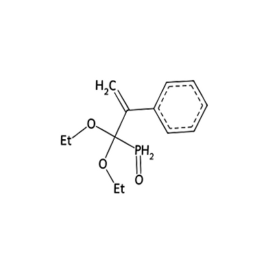 C=C(c1ccccc1)C(OCC)(OCC)[PH2]=O